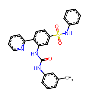 O=C(Nc1cccc(C(F)(F)F)c1)Nc1cc(S(=O)(=O)Nc2ccccc2)ccc1-c1ccccn1